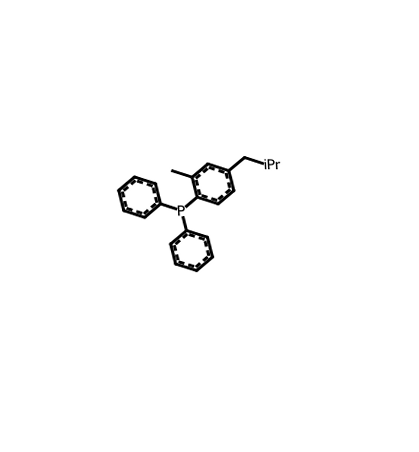 Cc1cc(CC(C)C)ccc1P(c1ccccc1)c1ccccc1